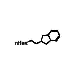 CCCCCCCCC1CC2C=CC=CC2C1